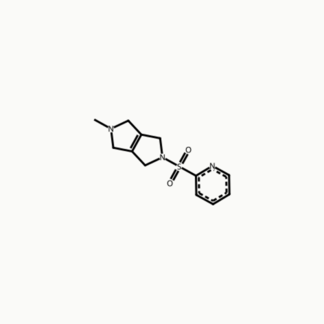 CN1CC2=C(C1)CN(S(=O)(=O)c1ccccn1)C2